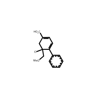 COCC1(Cl)CC(C(=O)O)=CC=C1c1ccccc1